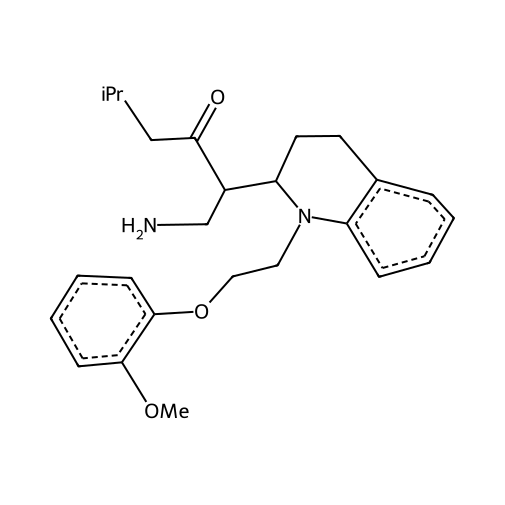 COc1ccccc1OCCN1c2ccccc2CCC1C(CN)C(=O)CC(C)C